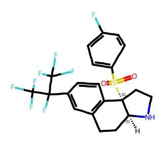 O=S(=O)(c1ccc(F)cc1)[C@]12CCN[C@H]1CCc1cc(C(F)(C(F)(F)F)C(F)(F)F)ccc12